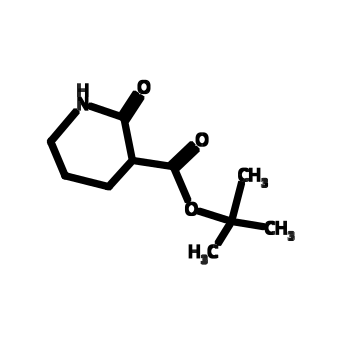 CC(C)(C)OC(=O)C1CCCNC1=O